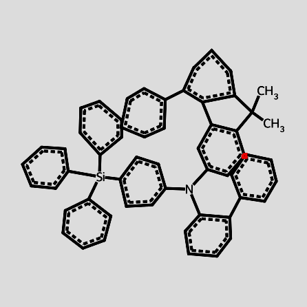 CC1(C)c2ccc(N(c3ccc([Si](c4ccccc4)(c4ccccc4)c4ccccc4)cc3)c3ccccc3-c3ccccc3)cc2-c2c(-c3ccccc3)cccc21